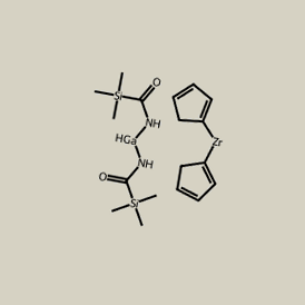 C1=CC[C]([Zr][C]2=CC=CC2)=C1.C[Si](C)(C)C(=O)[NH][GaH][NH]C(=O)[Si](C)(C)C